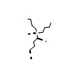 CCCCP(=C=O)(CCCC)C(=C=O)CCC=C=O.[Co]